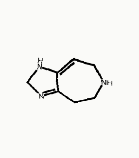 C1=C2NCN=C2CCNC1